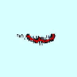 CCOC(=O)c1nc(NC(=O)c2cc(NC(=O)CCNC(=O)c3nc(NC(=O)[C@@H](CCNC(=O)c4cc(NC(=O)c5nc(NC(=O)CCNC(=O)c6cc(NC(=O)c7nccn7C)cn6C)cn5C)cn4C)NC(=O)OC(C)(C)C)cn3C)cn2C)cn1C